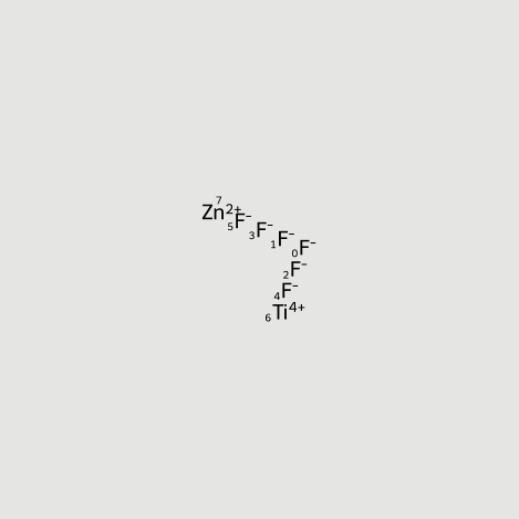 [F-].[F-].[F-].[F-].[F-].[F-].[Ti+4].[Zn+2]